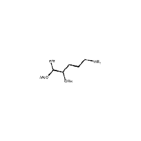 CCCC(OC)C(CC[CH][InH2])OC